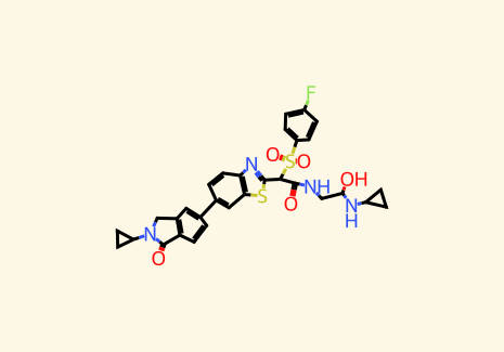 O=C(NCC(O)NC1CC1)C(c1nc2ccc(-c3ccc4c(c3)CN(C3CC3)C4=O)cc2s1)S(=O)(=O)c1ccc(F)cc1